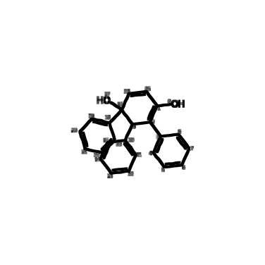 OC1=C(c2ccccc2)C(c2ccccc2)C(O)(c2ccccc2)C=C1